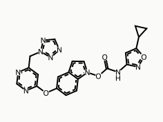 O=C(Nc1cc(C2CC2)on1)On1ccc2cc(Oc3cc(Cn4ncnn4)ncn3)ccc21